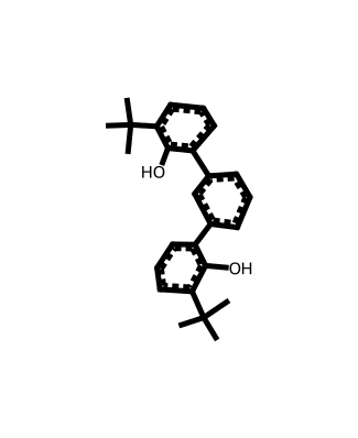 CC(C)(C)c1cccc(-c2cccc(-c3cccc(C(C)(C)C)c3O)c2)c1O